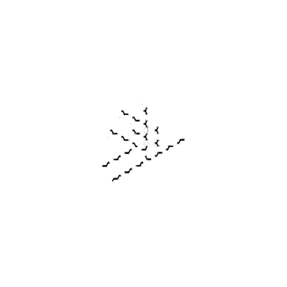 CCC(O)COCC(O)COCC(O)COC(COCC(COCC(O)COCC(O)CO)OCC(O)COCC(O)CO)COC(COCC(COCC(COCC(O)CO)OCC(O)COCC(O)CO)OCC(O)CO)COC(COCC(O)COCC(O)CO)OCC(O)COCC(O)COCC(O)CO